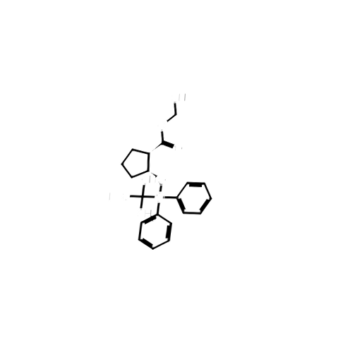 CCOC(=O)[C@@H]1CCC[C@@H]1O[Si](c1ccccc1)(c1ccccc1)C(C)(C)C